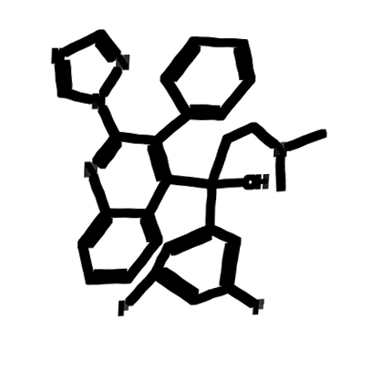 CN(C)CCC(O)(c1cc(F)cc(F)c1)c1c(-c2ccccc2)c(-n2cncn2)nc2ccccc12